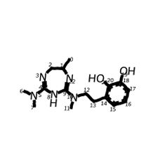 CC1CN=C(N(C)C)NC(N(C)CCc2cccc(O)c2O)=N1